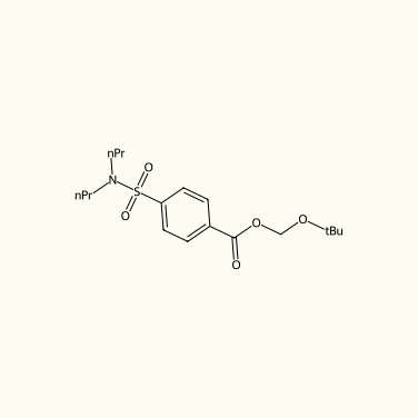 CCCN(CCC)S(=O)(=O)c1ccc(C(=O)OCOC(C)(C)C)cc1